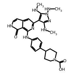 CNc1nn(NC)c(NC)c1-c1cc2cc[nH]c(=O)c2c(Nc2ccc(C3CCN(C(=O)O)CC3)cc2)n1